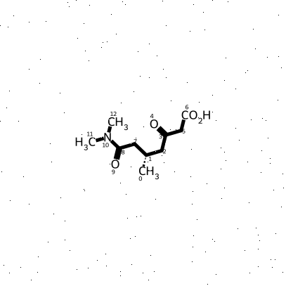 C[C@@H](CC(=O)CC(=O)O)CC(=O)N(C)C